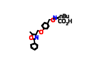 CCCCC(=NOCc1ccc(OCc2nc(-c3ccccc3)oc2C)cc1)C(=O)O